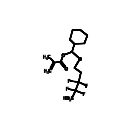 C=C(C)C(=O)OC(OCCC(F)(F)C(F)(F)S(=O)(=O)O)C1CCCCC1